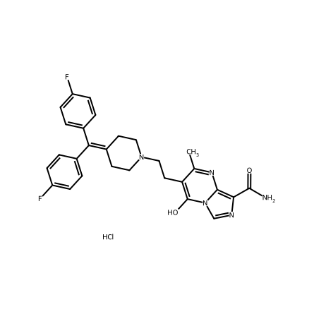 Cc1nc2c(C(N)=O)ncn2c(O)c1CCN1CCC(=C(c2ccc(F)cc2)c2ccc(F)cc2)CC1.Cl